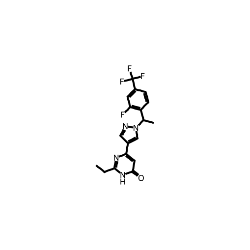 CCc1nc(-c2cnn(C(C)c3ccc(C(F)(F)F)cc3F)c2)cc(=O)[nH]1